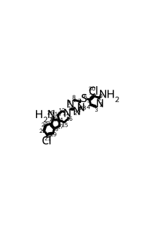 Nc1nccc(Sc2cnc(N3CCC4(CC3)Cc3cc(Cl)ccc3[C@@H]4N)nn2)c1Cl